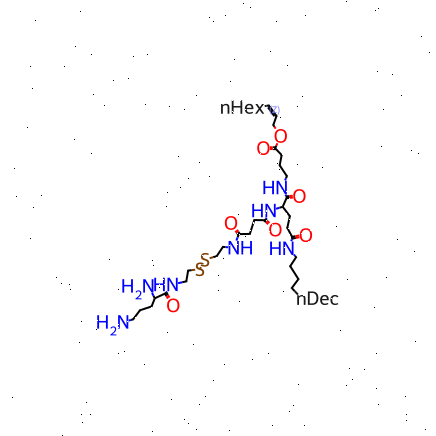 CCCCCC/C=C\COC(=O)CCCNC(=O)C(CCC(=O)NCCCCCCCCCCCCCC)NC(=O)CCC(=O)NCCSSCCNC(=O)C(N)CCCN